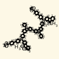 CC1(C)c2ccccc2-c2ccc(N(c3ccc(-c4ccc(C5OCCO5)cc4)cc3)c3ccc(-c4ccc5c(c4)c4cc(-c6ccc7c(c6)c6cc(-c8ccc(N(c9ccc(-c%10ccc(C%11OCCO%11)cc%10)cc9)c9ccc%10c(c9)C(C)(C)c9ccccc9-%10)cc8)ccc6n7-c6ccccc6)ccc4n5-c4ccccc4)cc3)cc21